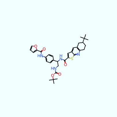 CC(C)(C)OC(=O)NCC(NC(=O)c1cc2cc3c(nc2s1)CCC(C(C)(C)C)C3)c1ccc(NC(=O)c2ccco2)cc1